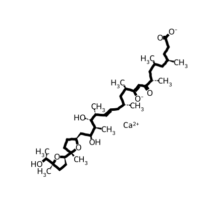 C[C@H](CCC(=O)[O-])C[C@H](C)C[C@H](C)C(=O)/C=C(\[O-])[C@H](C)C[C@H](C)C/C=C/[C@@H](C)[C@@H](O)[C@@H](C)[C@@H](O)C[C@@H]1CC[C@@](C)([C@H]2CC[C@@](C)([C@@H](C)O)O2)O1.[Ca+2]